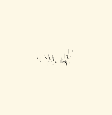 CN1CCC(C(=O)NC(=O)c2c(F)ccc(OCc3nc(-c4ccc(C(F)(F)F)cn4)c(Br)o3)c2F)CC1